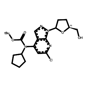 CC(C)(C)OC(=O)N(c1cc(Cl)nc2c1cnn2C1CC[C@@H](CO)O1)C1CCCC1